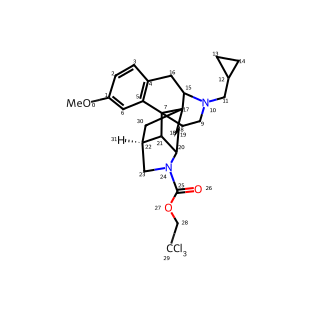 COc1ccc2c(c1)C13CCN(CC4CC4)C(C2)C12CCC1C3[C@@H](CN1C(=O)OCC(Cl)(Cl)Cl)C2